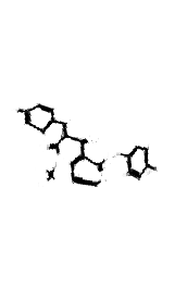 CC(C)(C)OC(=O)C(Cc1ccc(F)cc1)C(=O)c1cccnc1Oc1ccc(F)cc1